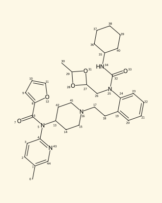 Cc1ccc(N(C(=O)c2ccco2)C2CCN(CCc3ccccc3N(CC3OC(C)O3)C(=O)NC3CCCCC3)CC2)nc1